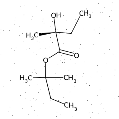 CCC(C)(C)OC(=O)[C@](C)(O)CC